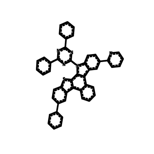 c1ccc(-c2ccc3sc4c(c3c2)c2ccccc2c2c3cc(-c5ccccn5)ccc3n(-c3nc(-c5ccccc5)nc(-c5ccccc5)n3)c42)cc1